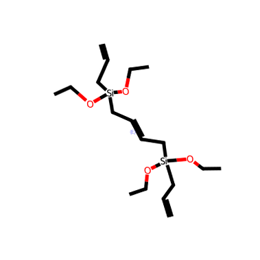 C=CC[Si](C/C=C/C[Si](CC=C)(OCC)OCC)(OCC)OCC